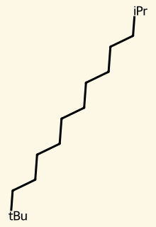 CC(C)CCCCCCCCCCC(C)(C)C